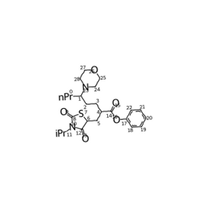 CCCC(CCC(CC1SC(=O)N(C(C)C)C1=O)C(=O)Oc1ccccc1)N1CCOCC1